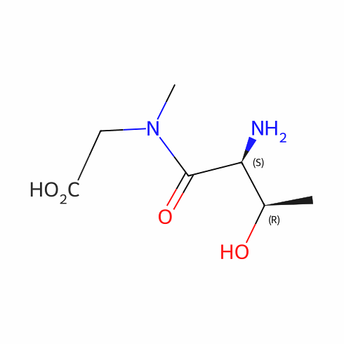 C[C@@H](O)[C@H](N)C(=O)N(C)CC(=O)O